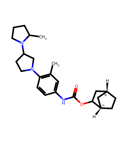 Cc1cc(NC(=O)OC2C[C@@H]3CC[C@H]2C3)ccc1N1CCC(N2CCCC2C)C1